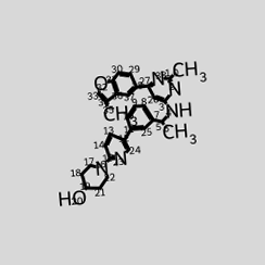 Cc1nc(NC(C)c2cccc(-c3ccc(N4CCC(O)CC4)nc3)c2)cc(-c2ccc3occ(C)c3c2)n1